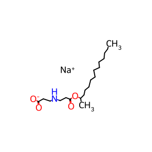 CCCCCCCCCCCCC(C)OC(=O)CCNCCC(=O)[O-].[Na+]